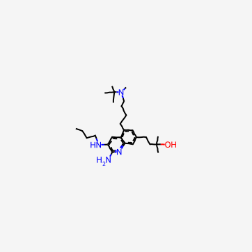 CCCCNc1cc2c(CCCCN(C)C(C)(C)C)cc(CCC(C)(C)O)cc2nc1N